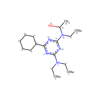 COCN(COC)c1nc(C2CCCCC2)nc(N(COC)C(C)O)n1